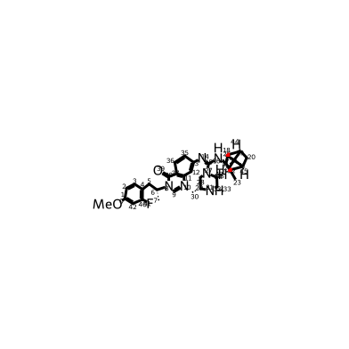 COc1ccc(C[C@@H](C)n2cnc3cc(N=C(N[C@H]4C[C@@H]5C[C@@H]([C@H]4C)C5(C)C)N4C[C@@H](C)N[C@@H](C)C4)ccc3c2=O)c(F)c1